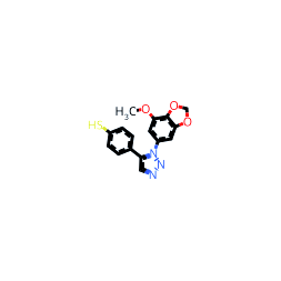 COc1cc(-n2nncc2-c2ccc(S)cc2)cc2c1OCO2